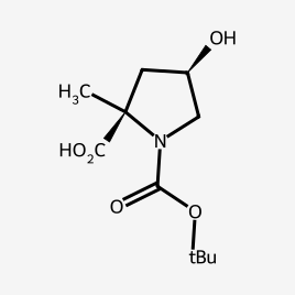 CC(C)(C)OC(=O)N1C[C@H](O)C[C@]1(C)C(=O)O